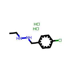 CCNNCc1ccc(Cl)cc1.Cl.Cl